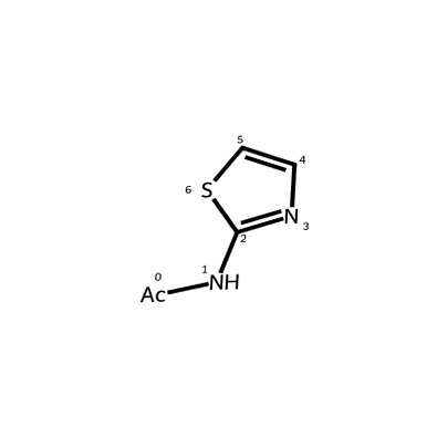 CC(=O)Nc1nccs1